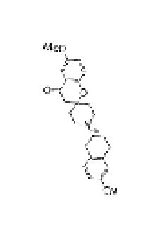 COc1ccc2c(c1)C(=O)CC1(CCN([C@@H]3CCc4cc(C#N)ccc4C3)CC1)O2